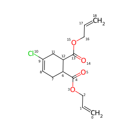 C=CCOC(=O)C1CC=C(Cl)CC1C(=O)OCC=C